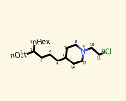 CCCCC[CH]CCC(CCCCCC)CCCC1CCN(CCCl)CC1